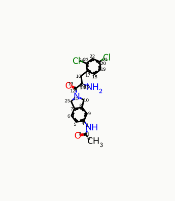 CC(=O)Nc1ccc2c(c1)CN(C(=O)[C@H](N)Cc1ccc(Cl)cc1Cl)C2